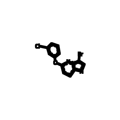 Clc1cccc(Oc2ccc3ncc(Br)n3n2)c1